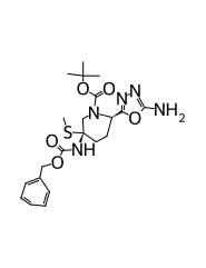 CS[C@@]1(NC(=O)OCc2ccccc2)CC[C@H](c2nnc(N)o2)N(C(=O)OC(C)(C)C)C1